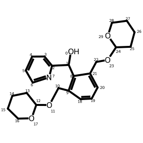 OC(c1ccccn1)c1c(COC2CCCCO2)cccc1COC1CCCCO1